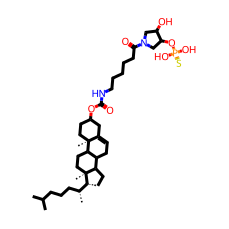 CC(C)CCC[C@@H](C)[C@H]1CCC2C3CC=C4CC(OC(=O)NCCCCCC(=O)N5CC(O)C(OP(O)(O)=S)C5)CC[C@]4(C)C3CC[C@@]21C